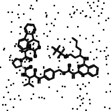 CCCCC(CCO[Si](C)(C)C(C)(C)C)Nc1nc(NC(=O)OCc2ccc(NC(=O)C(NC(=O)[C@@H]3CCCN3C(=O)C(C)NC(=O)OCC3c4ccccc4-c4ccccc43)C(C)C)cc2)nc2ccccc12